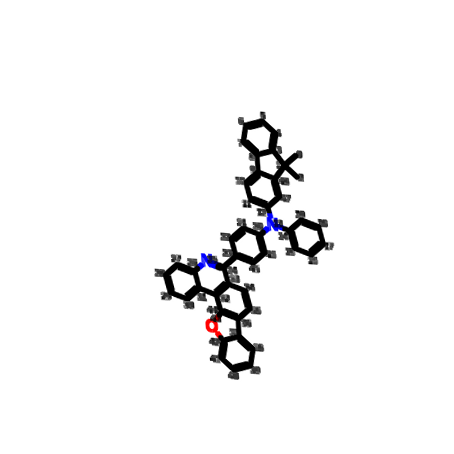 CC1(C)c2ccccc2-c2ccc(N(c3ccccc3)c3ccc(-c4nc5ccccc5c5c4ccc4c6ccccc6oc45)cc3)cc21